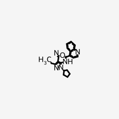 CCc1nn(C2CCCC2)c(NC(=O)c2ccnc3ccccc23)c1C#N